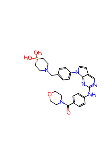 O=C(c1ccc(Nc2ncc3ccn(-c4ccc(CN5CCS(O)(O)CC5)cc4)c3n2)cc1)N1CCOCC1